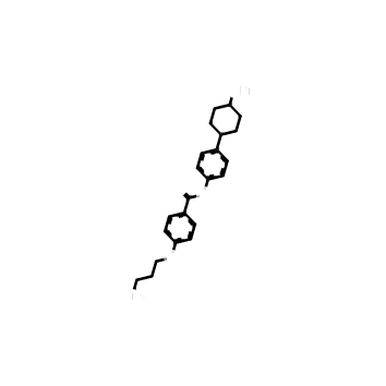 CCCC1CCC(c2ccc(OC(=O)c3ccc(OCCCC(C)CC)cc3)cc2)CC1